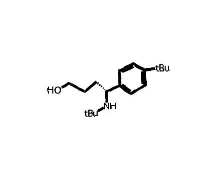 CC(C)(C)N[C@H](CCCO)c1ccc(C(C)(C)C)cc1